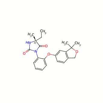 CC[C@@]1(C)NC(=O)N(c2ccccc2Oc2ccc3c(c2)C(C)(C)OC3)C1=O